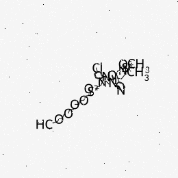 C#CCOCCOCCOCCOCC[S+]([O-])CCCn1c(CN2C(=O)C3(CCN([S+]([O-])C(C)C)CC3)c3ccncc32)nc2cc(Cl)ccc21